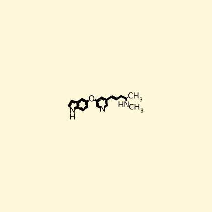 CN[C@@H](C)C/C=C/c1cncc(Oc2ccc3[nH]ccc3c2)c1